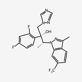 Cc1nn([C@H](C)[C@](O)(Cn2cncn2)c2ccc(F)cc2F)c2cc(C(F)(F)F)ccc12